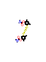 Cc1cc(C)c(SSSSSSc2cc(OC(=O)N(C)C)c(C)cc2C)cc1OC(=O)N(C)C